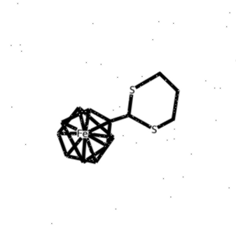 C1CSC([C]23[CH]4[CH]5[CH]6[CH]2[Fe]56432789[CH]3[CH]2[CH]7[CH]8[CH]39)SC1